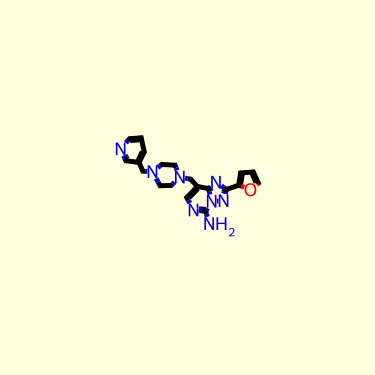 Nc1ncc(CN2CCN(Cc3cccnc3)CC2)c2nc(-c3ccco3)nn12